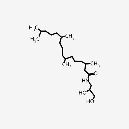 CC(C)CCCC(C)CCCC(C)CCCC(C)CC(=O)NCC(O)CO